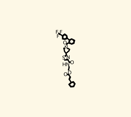 O=C(/C=C/c1ccccc1)OCCNC(=O)c1csc(C2CCN(C(=O)c3ccccc3-c3ccc(C(F)(F)F)cc3)CC2)n1